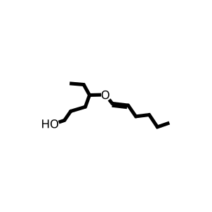 CCCCC=COC(CC)CCCO